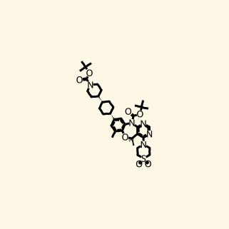 Cc1cc([C@H]2CC[C@@H](C3CCN(C(=O)OC(C)(C)C)CC3)CC2)cc2c1O[C@H](C)c1c(N3CCS(=O)(=O)CC3)ncnc1N2C(=O)OC(C)(C)C